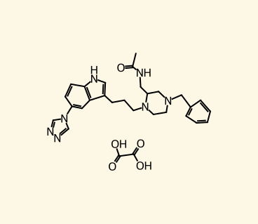 CC(=O)NCC1CN(Cc2ccccc2)CCN1CCCc1c[nH]c2ccc(-n3cnnc3)cc12.O=C(O)C(=O)O